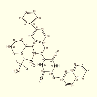 CC(C)(N)CC(=O)N(CC1CCNCC1)C(Cc1ccc(-c2ccccc2)cc1)C1NC(=O)C(Cc2ccc3ccccc3c2)NC1=O